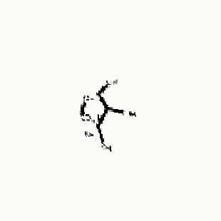 N.O=S(=O)(O)O.OCC(O)CO